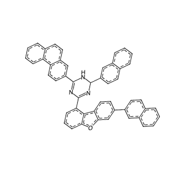 c1ccc2cc(-c3ccc4c(c3)oc3cccc(C5=NC(c6ccc7ccccc7c6)NC(c6ccc7c(ccc8ccccc87)c6)=N5)c34)ccc2c1